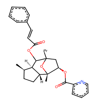 CC(C)C12C[C@@H](OC(=O)c3ccccn3)[C@@](C)(O1)[C@@H]1CC[C@@H](C)[C@H]1C2OC(=O)/C=C/c1ccccc1